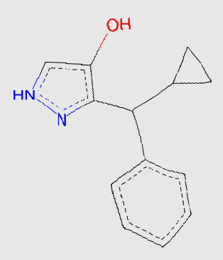 Oc1c[nH]nc1C(c1ccccc1)C1CC1